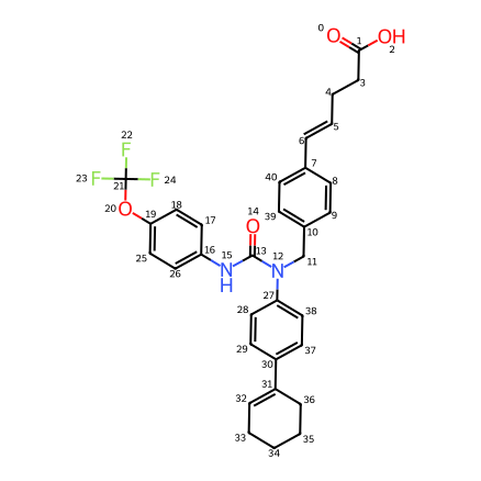 O=C(O)CC/C=C/c1ccc(CN(C(=O)Nc2ccc(OC(F)(F)F)cc2)c2ccc(C3=CCCCC3)cc2)cc1